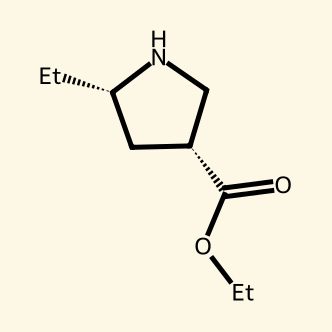 CCOC(=O)[C@H]1CN[C@@H](CC)C1